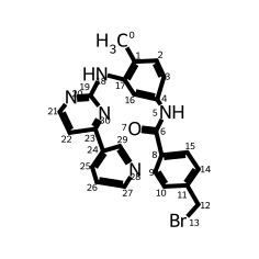 Cc1ccc(NC(=O)c2ccc(CBr)cc2)cc1Nc1nccc(-c2cccnc2)n1